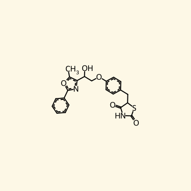 Cc1oc(-c2ccccc2)nc1C(O)COc1ccc(CC2SC(=O)NC2=O)cc1